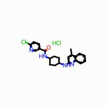 Cc1cc(NC2CCC(NC(=O)c3ccc(Cl)nc3)CC2)nc2ccccc12.Cl